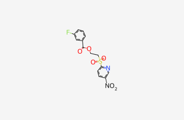 O=C(OCCS(=O)(=O)c1ccc([N+](=O)[O-])cn1)c1cccc(F)c1